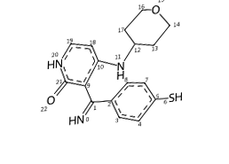 N=C(c1ccc(S)cc1)c1c(NC2CCOCC2)cc[nH]c1=O